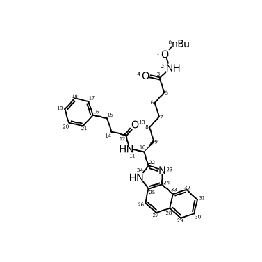 CCCCONC(=O)CCCCC[C@H](NC(=O)CCc1ccccc1)c1nc2c(ccc3ccccc32)[nH]1